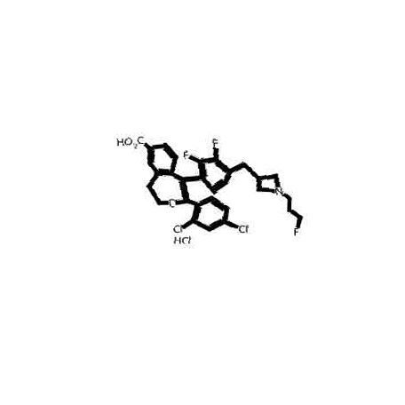 Cl.O=C(O)c1ccc2c(c1)CCCC(c1ccc(Cl)cc1Cl)=C2c1ccc(CC2CN(CCCF)C2)c(F)c1F